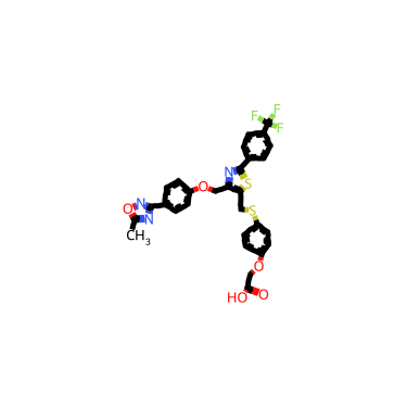 Cc1nc(-c2ccc(OCc3nc(-c4ccc(C(F)(F)F)cc4)sc3CSc3ccc(OCC(=O)O)cc3)cc2)no1